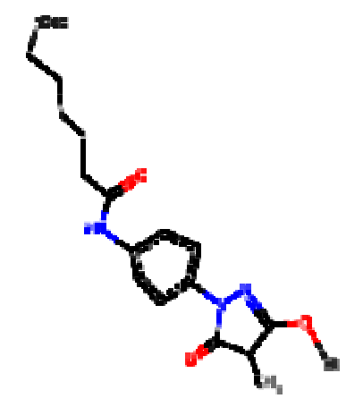 CCCCCCCCCCCCCCCC(=O)Nc1ccc(N2N=C(OCC)C(C)C2=O)cc1